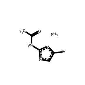 N.O=C(Nc1ncc(Br)s1)C(F)(F)F